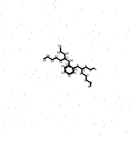 CCCCCC(CCC)Cc1ccccc1CC(CCC)CCCCC